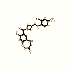 O=C1CNc2cc(C(=O)N3CC(COc4ccc(C(F)(F)F)cc4Cl)C3)c(F)cc2OC1